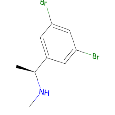 CN[C@@H](C)c1cc(Br)cc(Br)c1